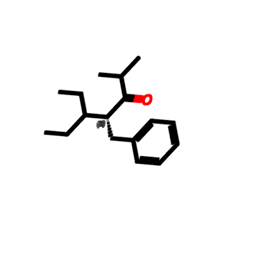 CCC(CC)[C@@H](Cc1ccccc1)C(=O)C(C)C